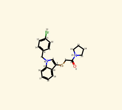 O=C(CSc1cn(Cc2ccc(Br)cc2)c2ccccc12)N1CCCC1